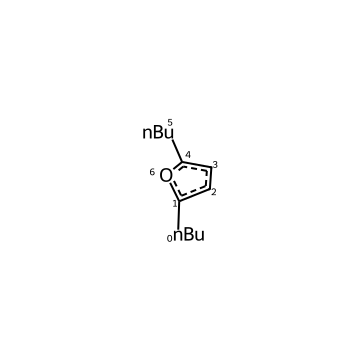 CCCCc1ccc(CCCC)o1